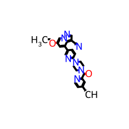 C#Cc1ccnc(C(=O)N2CCN(c3ccc(-c4cc(OCC)cn5ncc(C#N)c45)cn3)CC2)c1